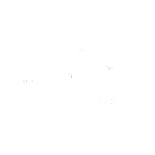 CCOC(=O)C1=C(Nc2ccccc2)C(=O)N(CCO)C1c1ccccc1